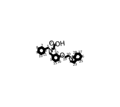 O=C(O)CN(Cc1ccccc1)Cc1cccc(OCCn2ccc3ccccc32)c1